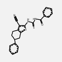 N#Cc1c(NC(=S)NC(=O)c2ccccc2)sc2c1CCC(c1ccccc1)C2